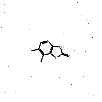 Cc1cnc2[nH]c(=O)oc2c1C